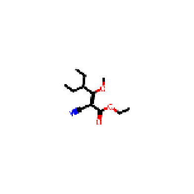 CCOC(=O)C(C#N)=C(OC)C(CC)CC